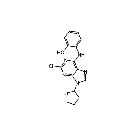 Oc1ccccc1Nc1nc(Cl)nc2c1ncn2C1CCCO1